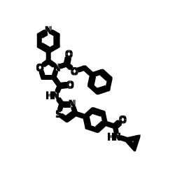 O=C(NC1CC1)c1ccc(-c2csc(NC(=O)C3COC(c4ccncc4)N3C(=O)OCc3ccccc3)n2)cc1